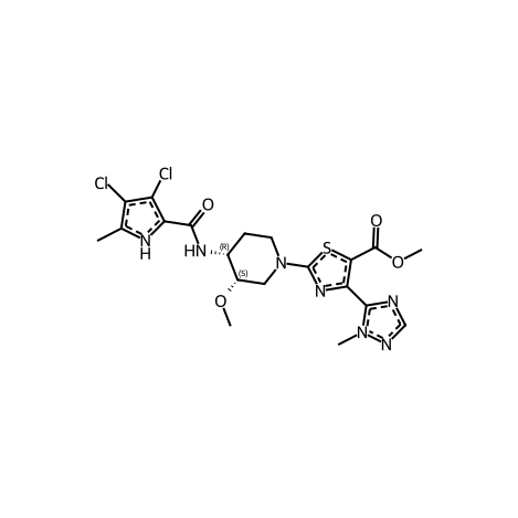 COC(=O)c1sc(N2CC[C@@H](NC(=O)c3[nH]c(C)c(Cl)c3Cl)[C@@H](OC)C2)nc1-c1ncnn1C